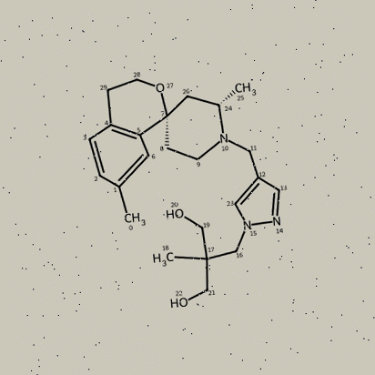 Cc1ccc2c(c1)[C@@]1(CCN(Cc3cnn(CC(C)(CO)CO)c3)[C@@H](C)C1)OCC2